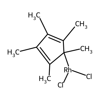 CC1=C(C)[C](C)([Rh]([Cl])[Cl])C(C)=C1C